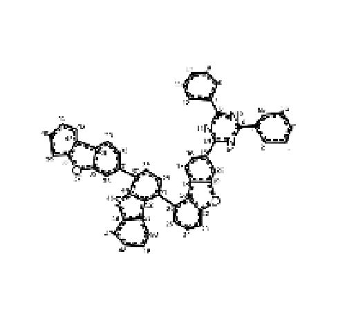 c1ccc(-c2nc(-c3ccccc3)nc(-c3ccc4c(c3)oc3cccc(-c5ccc(-c6ccc7c(c6)oc6ccccc67)c6sc7ccccc7c56)c34)n2)cc1